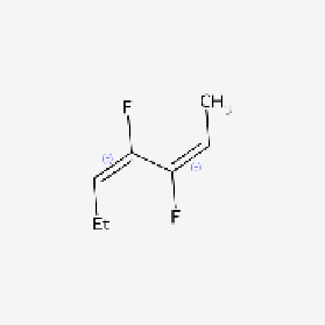 C/C=C(F)\C(F)=C/CC